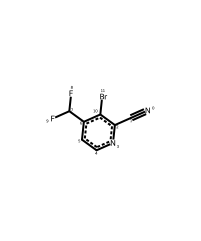 N#Cc1nccc(C(F)F)c1Br